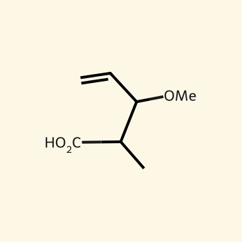 C=CC(OC)C(C)C(=O)O